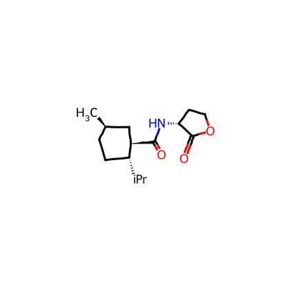 CC(C)[C@@H]1CC[C@@H](C)C[C@H]1C(=O)N[C@@H]1CCOC1=O